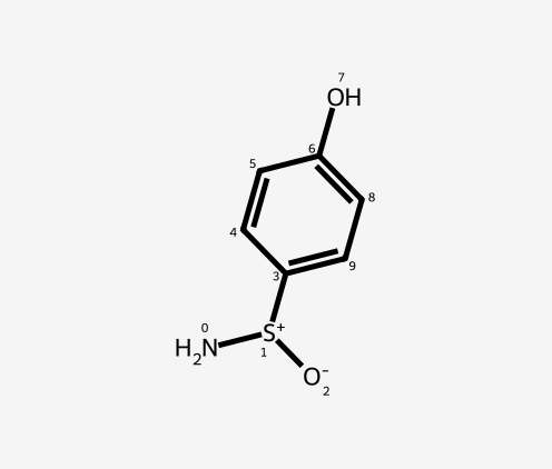 N[S+]([O-])c1ccc(O)cc1